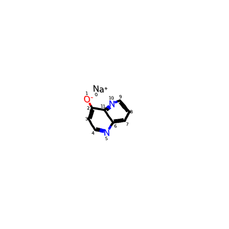 [Na+].[O-]c1ccnc2cccnc12